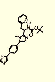 Cn1c(-c2ccc(-c3cncs3)cc2)cnc1C(Cc1ccccn1)NC(=O)OC(C)(C)C